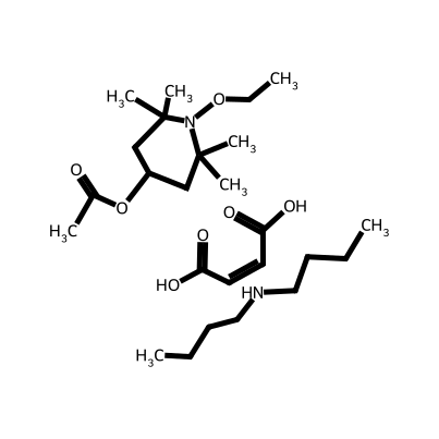 CCCCNCCCC.CCON1C(C)(C)CC(OC(C)=O)CC1(C)C.O=C(O)/C=C\C(=O)O